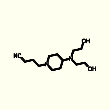 N#CCCCN1CCC(N(CCO)CCO)CC1